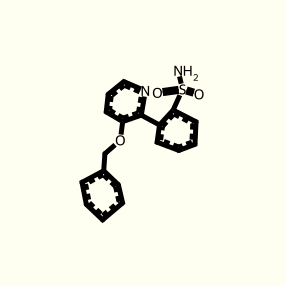 NS(=O)(=O)c1ccccc1-c1ncccc1OCc1ccccc1